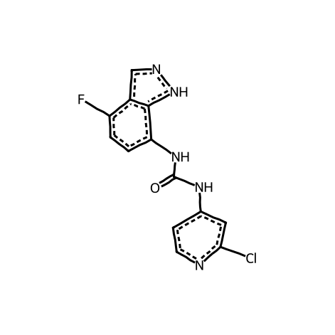 O=C(Nc1ccnc(Cl)c1)Nc1ccc(F)c2cn[nH]c12